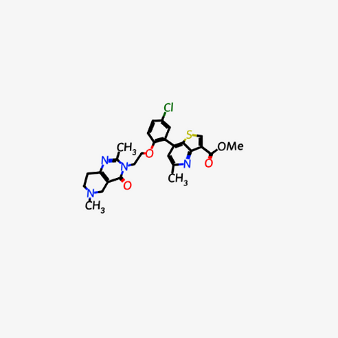 COC(=O)c1csc2c(-c3cc(Cl)ccc3OCCn3c(C)nc4c(c3=O)CN(C)CC4)cc(C)nc12